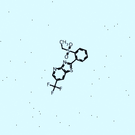 CCS(=O)(=O)c1ccccc1-c1nc2ncc(C(F)(F)F)cc2s1